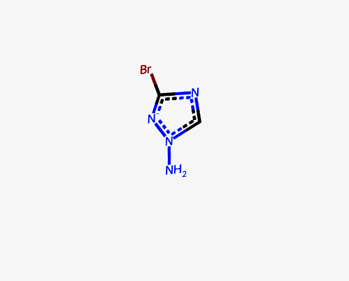 Nn1cnc(Br)n1